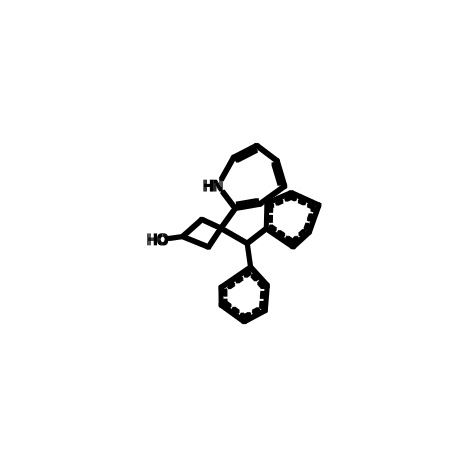 OC1CC(C2=CC=CC=CN2)(C(c2ccccc2)c2ccccc2)C1